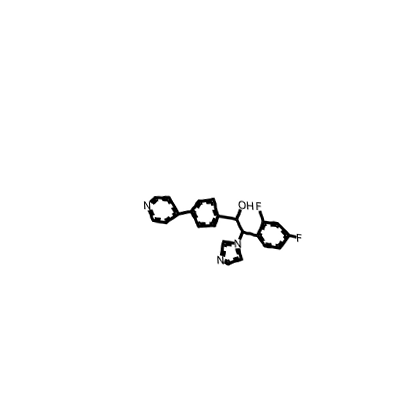 OC(c1ccc(-c2ccncc2)cc1)C(c1ccc(F)cc1F)n1ccnc1